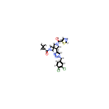 CC1(C)C[C@@H]1C(=O)N1CC2(CN(C(=O)c3cncs3)CC2c2cn(Cc3ccc(Cl)c(Cl)c3)nn2)C1